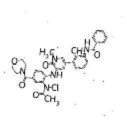 CC(=O)N(Cl)c1cc(C(=O)N2CCOCC2)ccc1Nc1cc(-c2cccc(NC(=O)c3ccccc3)c2C)cn(C)c1=O